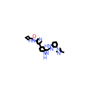 Cc1cn(-c2cccc3[nH]c(-c4n[nH]c5ccc(-c6cncc(NC(=O)C7CCC7)c6)cc45)nc23)cn1